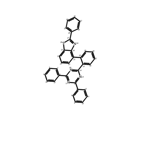 c1ccc(-c2nc(-c3ccccc3)nc(-c3ccccc3-c3cccc4sc(-c5ccccc5)nc34)n2)cc1